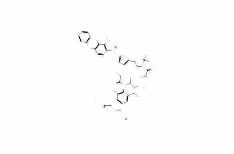 CC1(C)OC(c2ccco2)CN1C(=O)C(Cl)Cl.CCc1cccc(C)c1N(C(=O)CCl)C(C)COC.Nc1c([N+](=O)[O-])ccc(Oc2ccccc2)c1Cl.O=C(O)CNCP(=O)(O)O